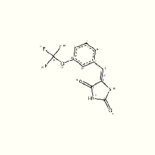 O=C1NC(=O)/C(=C\c2cccc(OC(F)(F)F)c2)S1